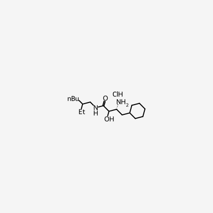 CCCCC(CC)CNC(=O)C(O)[C@H](N)CC1CCCCC1.Cl